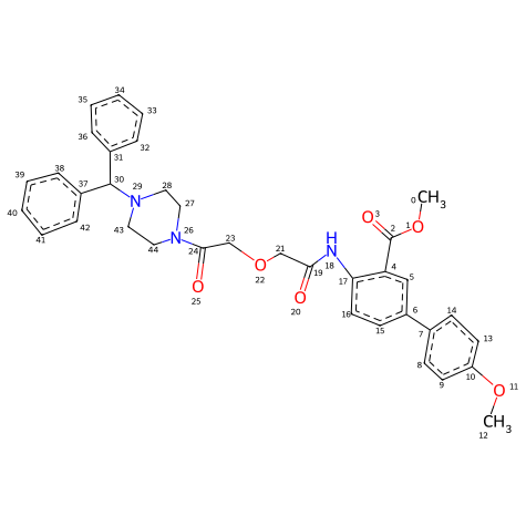 COC(=O)c1cc(-c2ccc(OC)cc2)ccc1NC(=O)COCC(=O)N1CCN(C(c2ccccc2)c2ccccc2)CC1